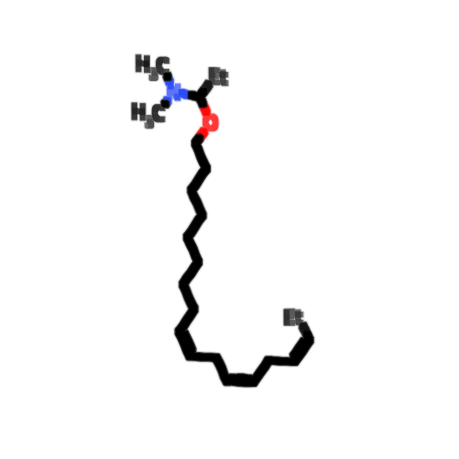 CC/C=C\C/C=C\C/C=C\CCCCCCCCOC(CC)N(C)C